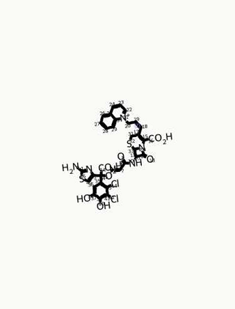 Nc1nc(C(ON=CC(=O)N[C@@H]2C(=O)N3C(C(=O)O)=C(/C=C\C[n+]4cccc5ccccc54)CSC23)(C(=O)O)c2cc(O)c(O)c(Cl)c2Cl)cs1